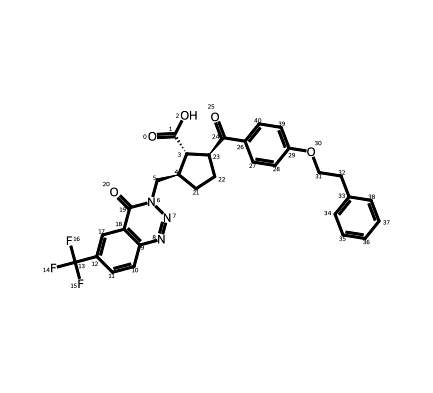 O=C(O)[C@H]1[C@H](Cn2nnc3ccc(C(F)(F)F)cc3c2=O)CC[C@@H]1C(=O)c1ccc(OCCc2ccccc2)cc1